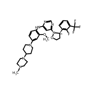 COc1cc(N2CCC(N3CCN(C)CC3)CC2)ccc1Nc1cc(N2OCC[C@@H]2c2cccc(C(F)(F)F)c2F)ncn1